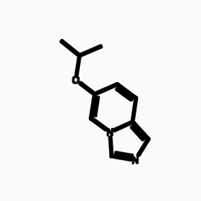 CC(C)Oc1ccc2cncn2c1